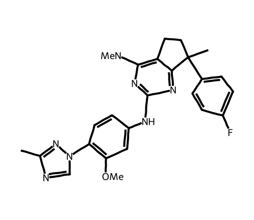 CNc1nc(Nc2ccc(-n3cnc(C)n3)c(OC)c2)nc2c1CCC2(C)c1ccc(F)cc1